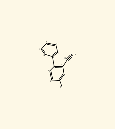 [CH2]c1ccc(-c2ccccc2)c(C#N)c1